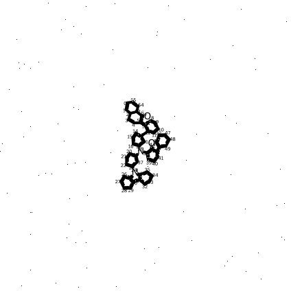 C1=CC2C=Cc3c(oc4cccc(-c5cccc(N(c6cccc(-n7c8ccccc8c8ccccc87)c6)c6cccc7c6oc6ccccc67)c5)c34)C2C=C1